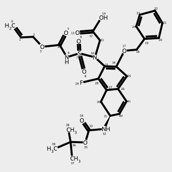 C=CCOC(=O)NS(=O)(=O)N(CC(=O)O)c1c(OCc2ccccc2)cc2c(c1F)C[C@H](NC(=O)OC(C)(C)C)C=C2